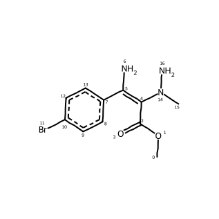 COC(=O)/C(=C(/N)c1ccc(Br)cc1)N(C)N